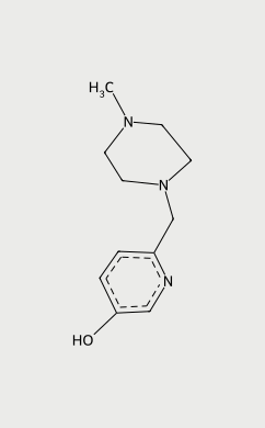 CN1CCN(Cc2ccc(O)cn2)CC1